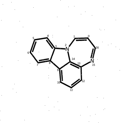 C1=Cn2c3ccccc3c3cccc(c32)N=C1